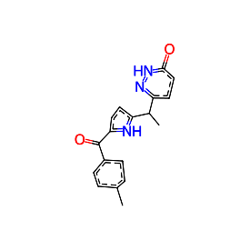 Cc1ccc(C(=O)c2ccc(C(C)c3ccc(=O)[nH]n3)[nH]2)cc1